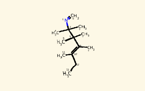 C=NC(C)(C)C(C)(C)/C(C)=C(\C)CC